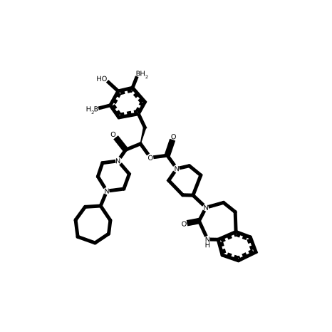 Bc1cc(C[C@@H](OC(=O)N2CCC(N3CCc4ccccc4NC3=O)CC2)C(=O)N2CCN(C3CCCCCC3)CC2)cc(B)c1O